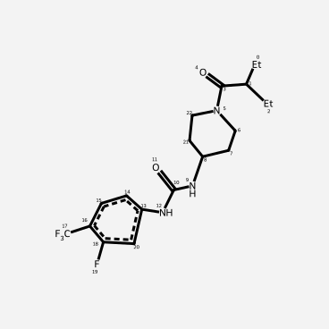 CCC(CC)C(=O)N1CCC(NC(=O)Nc2ccc(C(F)(F)F)c(F)c2)CC1